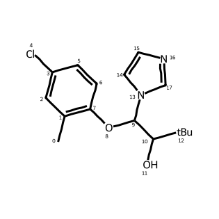 Cc1cc(Cl)ccc1OC(C(O)C(C)(C)C)n1ccnc1